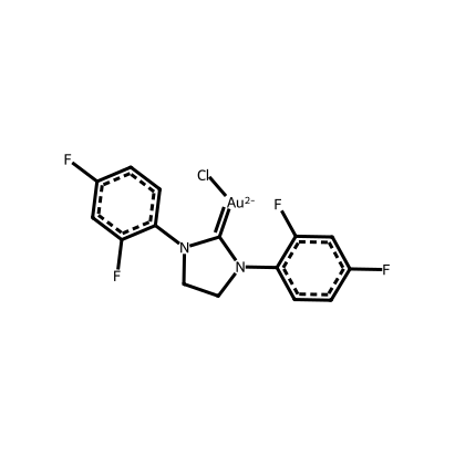 Fc1ccc(N2CCN(c3ccc(F)cc3F)[C]2=[Au-2][Cl])c(F)c1